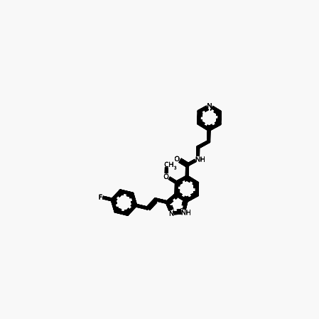 COc1c(C(=O)NCCc2ccncc2)ccc2[nH]nc(/C=C/c3ccc(F)cc3)c12